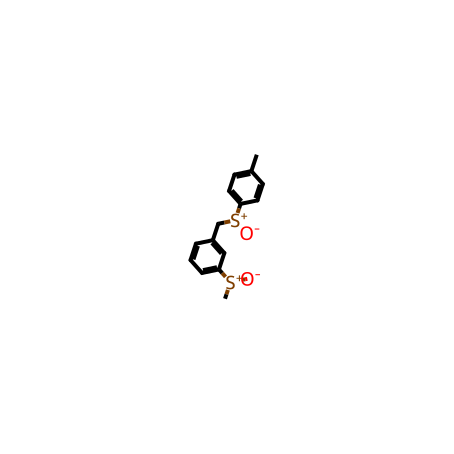 Cc1ccc([S+]([O-])Cc2cccc([S+](C)[O-])c2)cc1